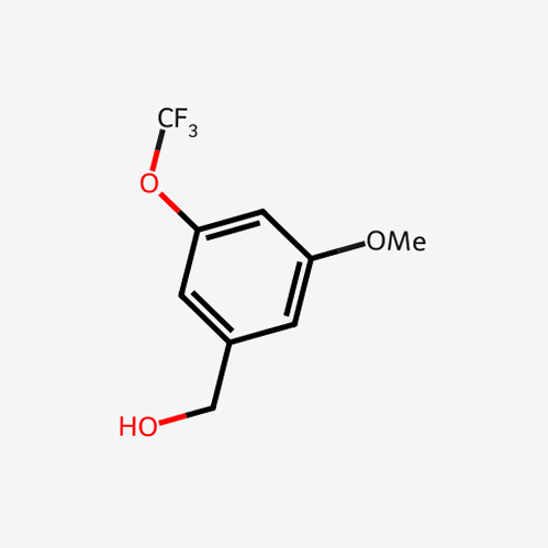 COc1cc(CO)cc(OC(F)(F)F)c1